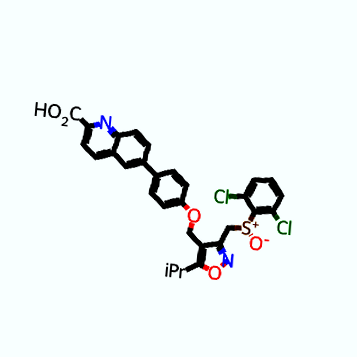 CC(C)c1onc(C[S+]([O-])c2c(Cl)cccc2Cl)c1COc1ccc(-c2ccc3nc(C(=O)O)ccc3c2)cc1